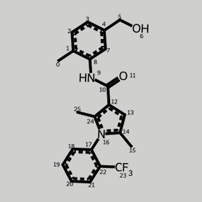 Cc1ccc(CO)cc1NC(=O)c1cc(C)n(-c2ccccc2C(F)(F)F)c1C